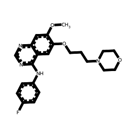 COc1cc2ncnc(Nc3ccc(F)cc3)c2cc1OCCCN1CCOCC1